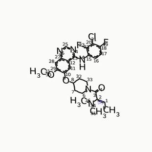 C/C=C(/C(=O)N1CCC(Oc2cc3c(Nc4ccc(F)c(Cl)c4F)ncnc3cc2OC)CC1)N(C)C